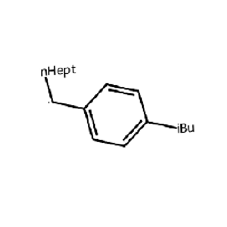 CCCCCCC[CH]c1ccc(C(C)CC)cc1